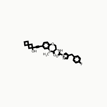 CN1C(=O)[C@@H](NC(=O)n2cc(Cc3ccc(F)cc3)cn2)COc2ccc(C#CC3(O)CC4(CCC4)C3)cc21